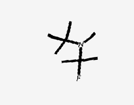 CN(C(C)(C)C)C(C)(C)F